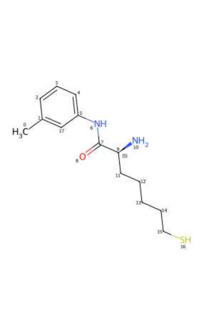 Cc1cccc(NC(=O)[C@@H](N)CCCCCS)c1